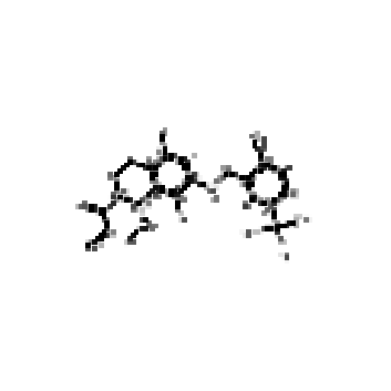 C=C(C=O)[C@@H]1CCc2c(C)cc(OCc3cc(C(F)(F)F)ccc3Cl)c(C)c2[C@@H]1OC